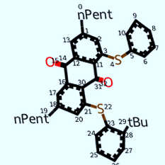 CCCCCc1cc(Sc2ccccc2)c2c(c1)C(=O)c1cc(CCCCC)cc(Sc3ccccc3C(C)(C)C)c1C2=O